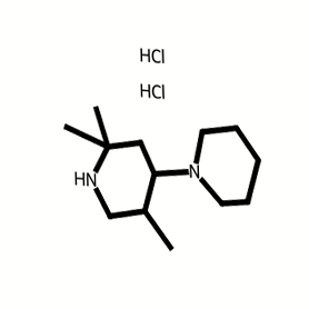 CC1CNC(C)(C)CC1N1CCCCC1.Cl.Cl